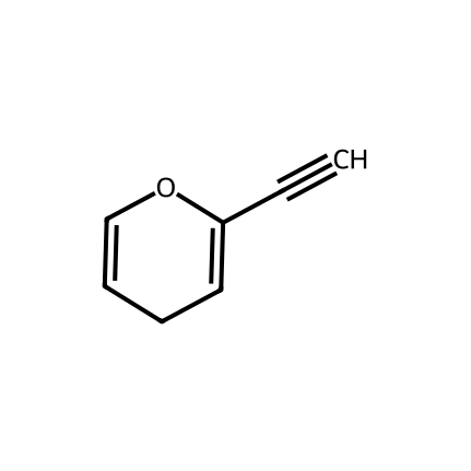 C#CC1=CCC=CO1